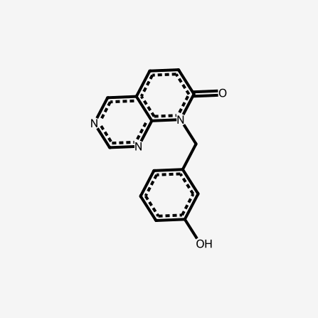 O=c1ccc2cncnc2n1Cc1cccc(O)c1